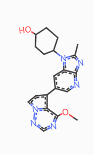 COc1ncnn2ccc(-c3cnc4nc(C)n(C5CCC(O)CC5)c4c3)c12